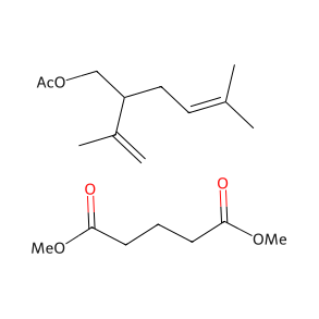 C=C(C)C(CC=C(C)C)COC(C)=O.COC(=O)CCCC(=O)OC